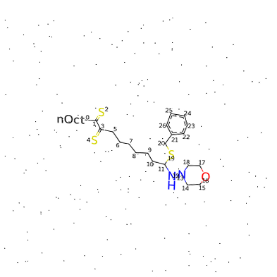 CCCCCCCCC(=S)C(=S)CCCCCCC(NN1CCOCC1)SCc1ccccc1